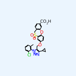 Cc1cccc(Cl)c1-n1nnc(C2CC2)c1COc1ccc2c(c1)S(=O)(=O)Cc1ccc(C(=O)O)cc1O2